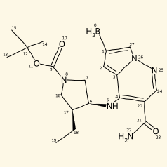 Bc1cc2c(N[C@@H]3CN(C(=O)OC(C)(C)C)C[C@@H]3CC)c(C(N)=O)cnn2c1